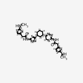 CNc1nc(CC(=O)NC2=NN=C([C@H]3CCC[C@H](c4nnc(NC(=O)Cc5csc(NC)n5)s4)C3)CS2)cs1